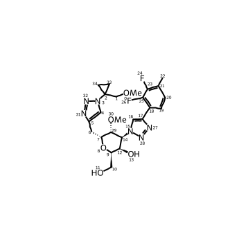 COCC1(n2cc(C[C@H]3O[C@H](CO)[C@H](O)[C@H](n4cc(-c5ccc(C)c(F)c5F)nn4)[C@H]3OC)nn2)CC1